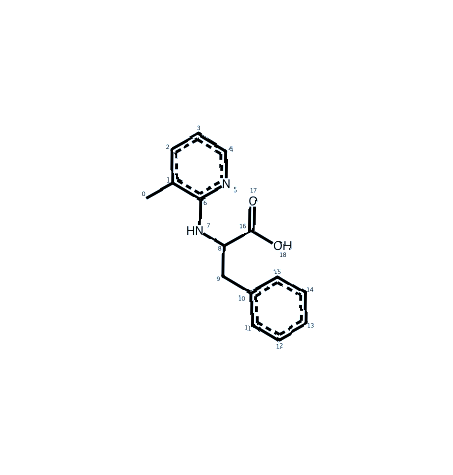 Cc1cccnc1NC(Cc1ccccc1)C(=O)O